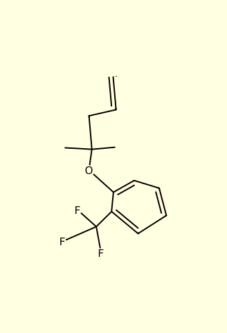 [CH]=CCC(C)(C)Oc1ccccc1C(F)(F)F